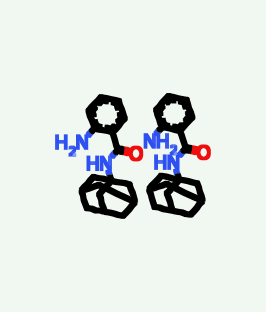 Nc1ccccc1C(=O)NC12CC3CC(CC(C3)C1)C2.Nc1ccccc1C(=O)NC12CC3CC(CC(C3)C1)C2